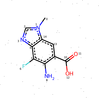 Cn1cnc2c(F)c(N)c(C(=O)O)cc21